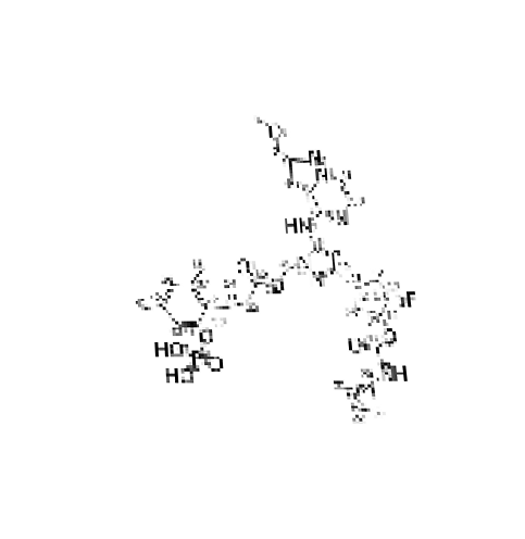 COCc1cc2c(Nc3cc([C@@H]4C[C@H](F)[C@H](OC(=O)NC56CC(C5)C6)C4)nn3COC(=O)CC(C)(C)c3c(C)cc(C)cc3OP(=O)(O)O)nccn2n1